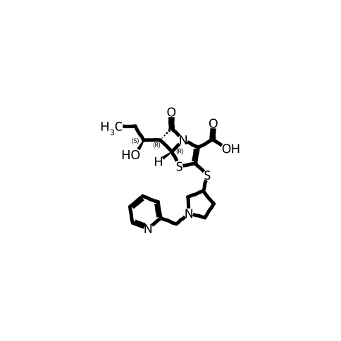 CC[C@H](O)[C@@H]1C(=O)N2C(C(=O)O)=C(SC3CCN(Cc4ccccn4)C3)S[C@H]12